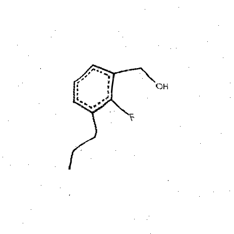 CCCc1cccc(CO)c1F